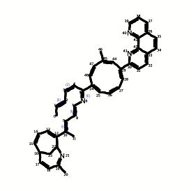 C/C=C/C=C\C(=N/C=C/C=C(\C)C1=CC=CC2C=CC(C)=NC1C2)c1ccccc(-c2ccc3ccc4cccnc4c3n2)cc(C)cc1